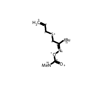 C=CCSCC(=NOC(=O)NC)C(C)(C)C